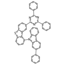 c1ccc(-c2ccc3c4ccccc4n(-c4cccc5sc6ccc(-c7nc(-c8ccccc8)nc(-c8ccccc8)n7)cc6c45)c3c2)cc1